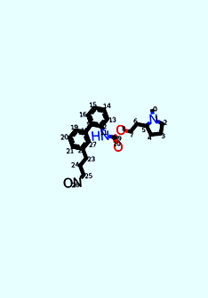 CN1CCCC1CCOC(=O)Nc1ccccc1-c1cccc(CCCN=O)c1